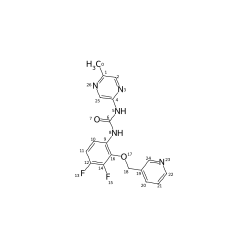 Cc1cnc(NC(=O)Nc2ccc(F)c(F)c2OCc2cccnc2)cn1